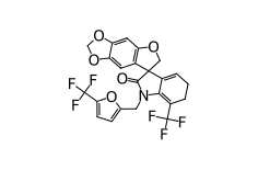 O=C1N(Cc2ccc(C(F)(F)F)o2)C2=C(C(F)(F)F)CCC=C2C12COc1cc3c(cc12)OCO3